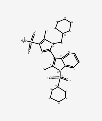 Cc1c(S(N)(=O)=O)cc(-c2c(C)n(S(=O)(=O)N3CCCCC3)c3ccccc23)n1CC1CCCCC1